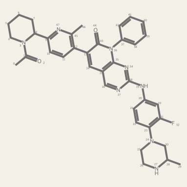 CC(=O)N1CCCCC1c1ccc(-c2cc3cnc(Nc4ccc(N5CCNC(C)C5)c(F)c4)nc3n(-c3ccccc3)c2=O)c(C)n1